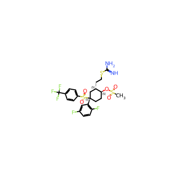 CS(=O)(=O)O[C@H]1CC[C@](c2cc(F)ccc2F)(S(=O)(=O)c2ccc(C(F)(F)F)cc2)C[C@@H]1CCSC(=N)N